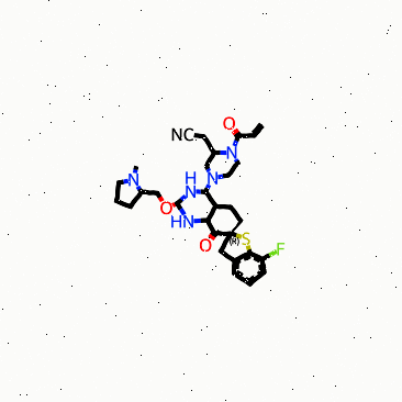 C=CC(=O)N1CCN(C2NC(OCC3CCCN3C)NC3C(=O)[C@@]4(CCC32)Cc2cccc(F)c2S4)CC1CC#N